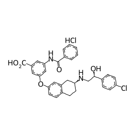 Cl.O=C(O)c1cc(NC(=O)c2ccccc2)cc(Oc2ccc3c(c2)C[C@@H](NC[C@@H](O)c2ccc(Cl)cc2)CC3)c1